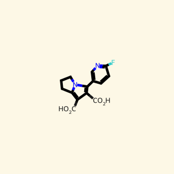 O=C(O)c1c(C(=O)O)c(-c2ccc(F)nc2)n2c1CCC2